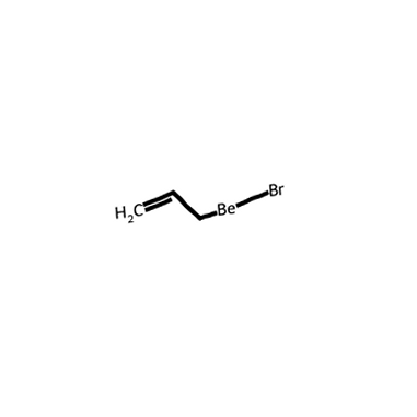 C=C[CH2][Be][Br]